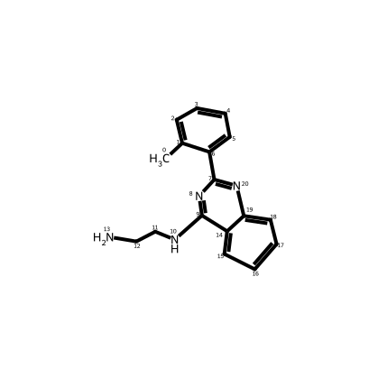 Cc1ccccc1-c1nc(NCCN)c2ccccc2n1